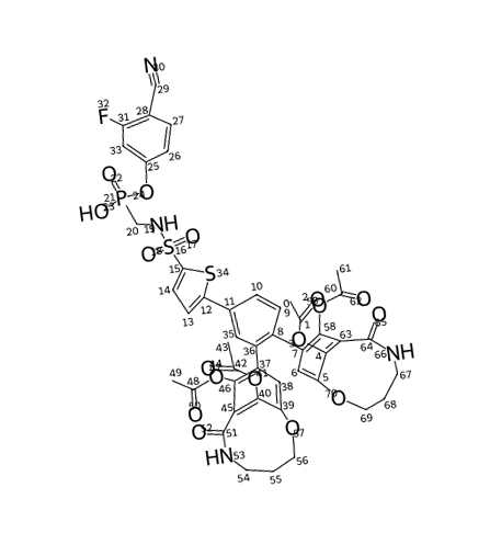 CC(=O)Oc1c2cc(-c3ccc(-c4ccc(S(=O)(=O)NCP(=O)(O)Oc5ccc(C#N)c(F)c5)s4)cc3-c3cc4c(OC(C)=O)c(c3OC(C)=O)C(=O)NCCCO4)c(OC(C)=O)c1C(=O)NCCCO2